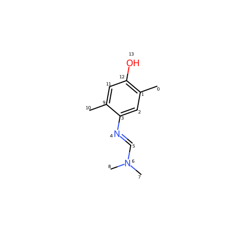 Cc1cc(N=CN(C)C)c(C)cc1O